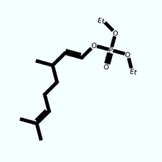 CCOP(=O)(OC=CC(C)CCC=C(C)C)OCC